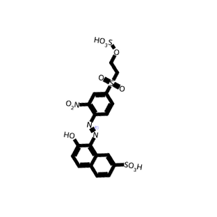 O=[N+]([O-])c1cc(S(=O)(=O)CCOS(=O)(=O)O)ccc1/N=N/c1c(O)ccc2ccc(S(=O)(=O)O)cc12